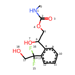 CNC(=O)OCC(O)c1ccccc1C(F)(F)CO